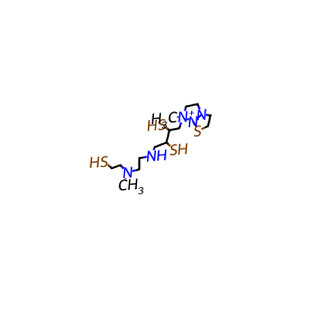 CN(CCS)CCNCC(S)C(S)C[N+]1(C)CCN2CCSN21